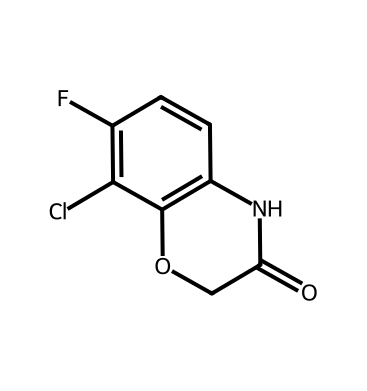 O=C1COc2c(ccc(F)c2Cl)N1